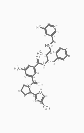 Cc1cc(C(=O)N[C@@H](Cc2ccccc2)[C@H](O)CNCc2cncc(C(C)C)c2)cc(C(=O)N2CCCC2c2nc(C)co2)c1